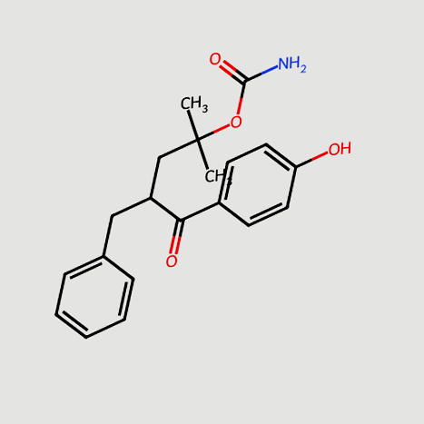 CC(C)(CC(Cc1ccccc1)C(=O)c1ccc(O)cc1)OC(N)=O